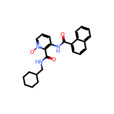 O=C(Nc1ccc[n+]([O-])c1C(=O)NCC1CCCCC1)c1cccc2ccccc12